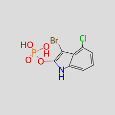 O=P(O)(O)Oc1[nH]c2cccc(Cl)c2c1Br